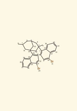 CC1CC2CC(C)(c3ccc(Br)c4ccccc34)CC(c3ccc(Br)c4ccccc34)(C1)C2